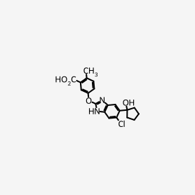 Cc1ccc(Oc2nc3cc(C4(O)CCCC4)c(Cl)cc3[nH]2)cc1C(=O)O